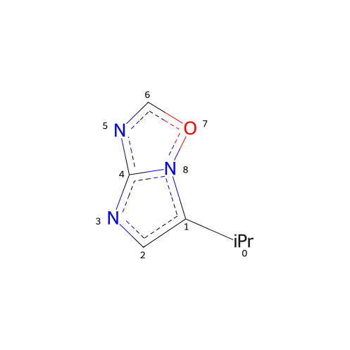 CC(C)c1cnc2ncon12